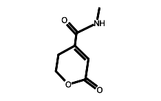 CNC(=O)C1=CC(=O)OCC1